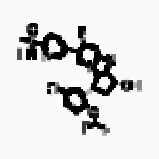 CS(=N)(=O)c1ccc(-c2cn3c4c(nc3cc2F)[C@H](O)C[C@@H]4c2cc(Cl)ccc2OC(F)F)cn1